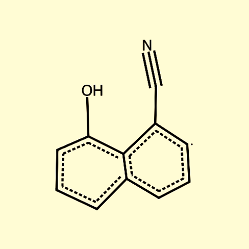 N#Cc1[c]ccc2cccc(O)c12